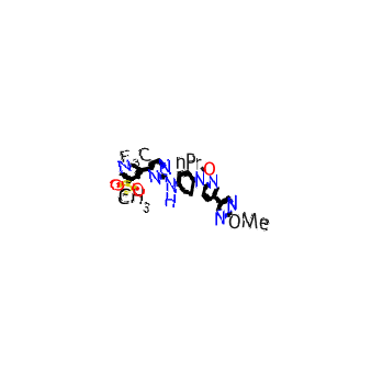 CCCC(=O)N(c1ccc(-c2cnc(OC)nc2)cn1)C1CCC(Nc2ncc(C(F)(F)F)c(-c3cncc(S(C)(=O)=O)c3)n2)CC1